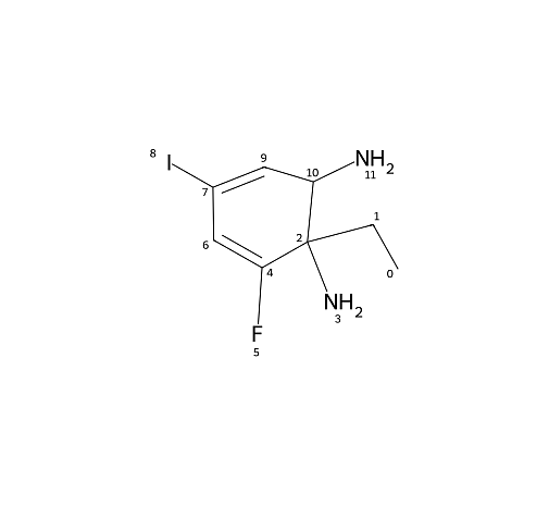 CCC1(N)C(F)=CC(I)=CC1N